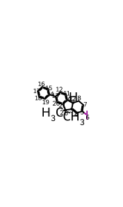 CC1(C)C2=CC(I)=CC[C@@H]2c2ccc(-c3ccccc3)cc21